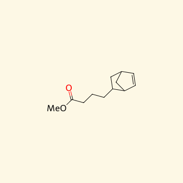 COC(=O)CCCC1CC2C=CC1C2